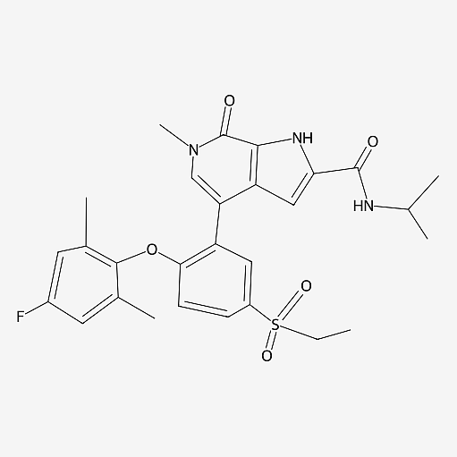 CCS(=O)(=O)c1ccc(Oc2c(C)cc(F)cc2C)c(-c2cn(C)c(=O)c3[nH]c(C(=O)NC(C)C)cc23)c1